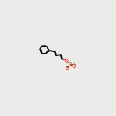 O=[SH](=O)OC=CC=Cc1ccccc1